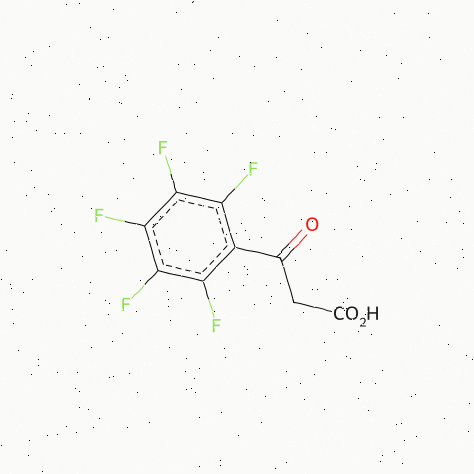 O=C(O)CC(=O)c1c(F)c(F)c(F)c(F)c1F